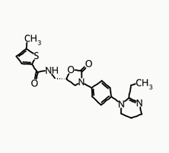 CCC1=NCCCN1c1ccc(N2C[C@H](CNC(=O)c3ccc(C)s3)OC2=O)cc1